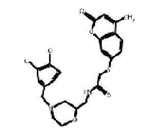 Cc1cc(=O)oc2cc(SCC(=O)NCC3CN(Cc4ccc(Cl)c(Cl)c4)CCO3)ccc12